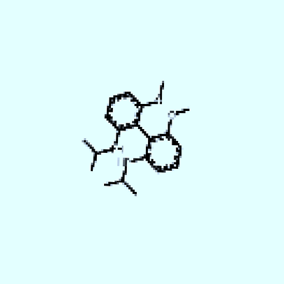 COc1cccc(PC(C)C)c1-c1c(OC)cccc1PC(C)C